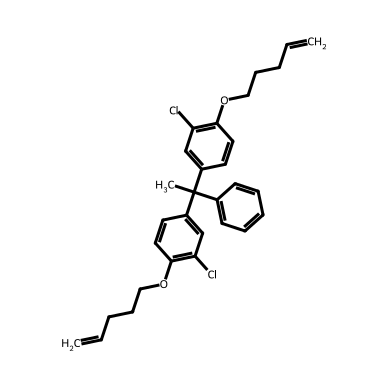 C=CCCCOc1ccc(C(C)(c2ccccc2)c2ccc(OCCCC=C)c(Cl)c2)cc1Cl